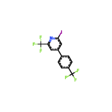 FC(F)(F)c1ccc(-c2cc(I)nc(C(F)(F)F)c2)cc1